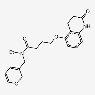 CCN(CC1=CC=COC1)C(=O)CCCOc1cccc2c1CCC(=O)N2